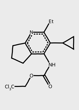 CCc1nc2c(c(NC(=O)OCC(Cl)(Cl)Cl)c1C1CC1)CCC2